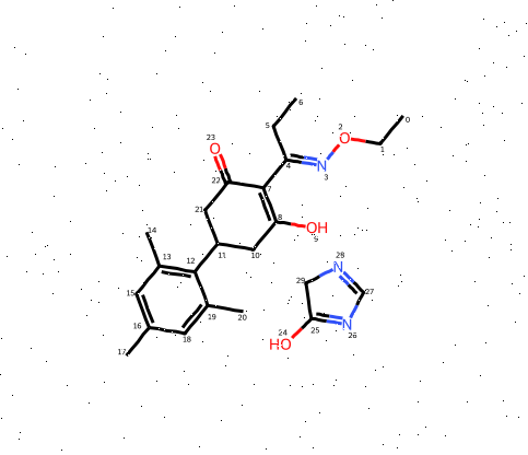 CCO/N=C(\CC)C1=C(O)CC(c2c(C)cc(C)cc2C)CC1=O.OC1=NC=NC1